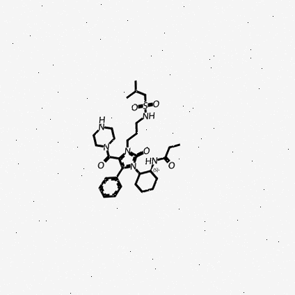 CCC(=O)N[C@H]1CCCCC1n1c(-c2ccccc2)c(C(=O)N2CCNCC2)n(CCCNS(=O)(=O)CC(C)C)c1=O